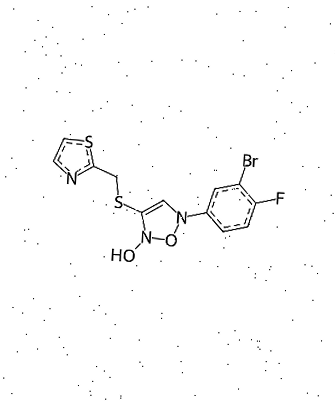 ON1ON(c2ccc(F)c(Br)c2)C=C1SCc1nccs1